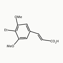 CCc1c(OC)cc(C=CC(=O)O)cc1OC